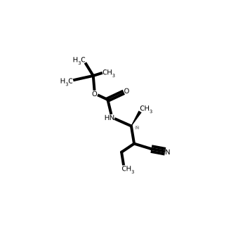 CCC(C#N)[C@H](C)NC(=O)OC(C)(C)C